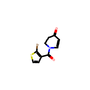 O=C1C=CN(C(=O)c2ccsc2Br)CC1